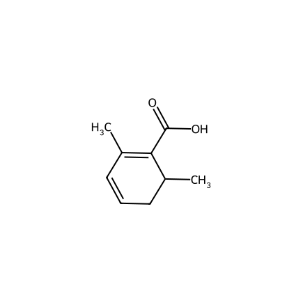 CC1=C(C(=O)O)C(C)CC=C1